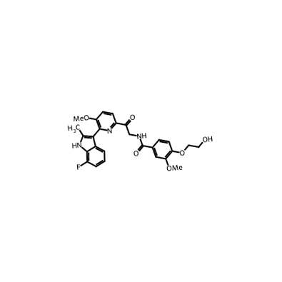 COc1cc(C(=O)NCC(=O)c2ccc(OC)c(-c3c(C)[nH]c4c(F)cccc34)n2)ccc1OCCO